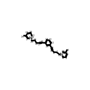 Cc1ccc[n+](CCCC#Cc2cccc(C#CCCC[n+]3cccc(C)c3)c2)c1